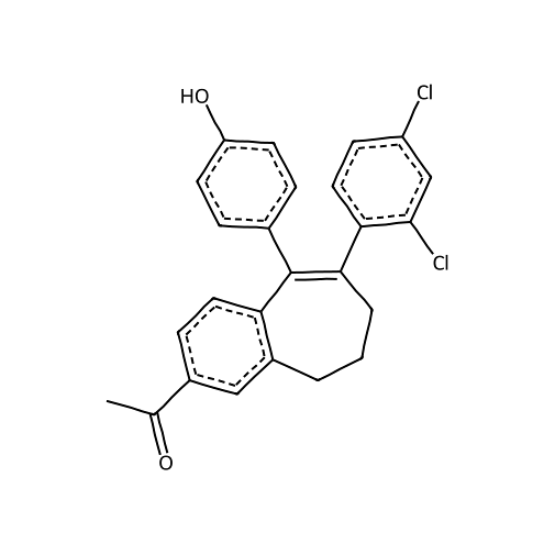 CC(=O)c1ccc2c(c1)CCCC(c1ccc(Cl)cc1Cl)=C2c1ccc(O)cc1